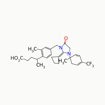 Cc1cc(CN2C(=O)CN(C3(C)C=CC(C(F)(F)F)=CC3)C2=C2CCC2)ccc1C(C)CCC(=O)O